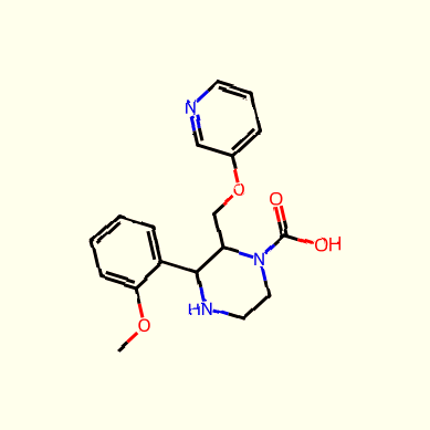 COc1ccccc1C1NCCN(C(=O)O)C1COc1cccnc1